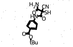 CC(C)(C)OC(=O)c1ccc(NC(=O)C(S)(C#N)C(N)=O)cc1